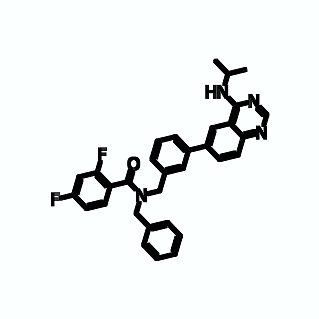 CC(C)Nc1ncnc2ccc(-c3cccc(CN(Cc4ccccc4)C(=O)c4ccc(F)cc4F)c3)cc12